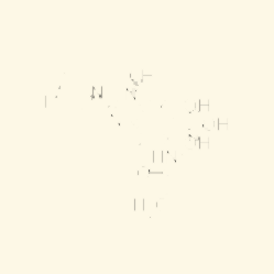 C=CC(=O)Nc1cc2nc(N3CCCC(F)C3)n(C)c2cc1C(O)(O)O